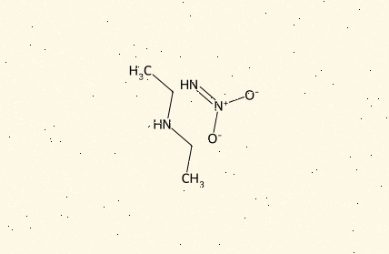 CCNCC.N=[N+]([O-])[O-]